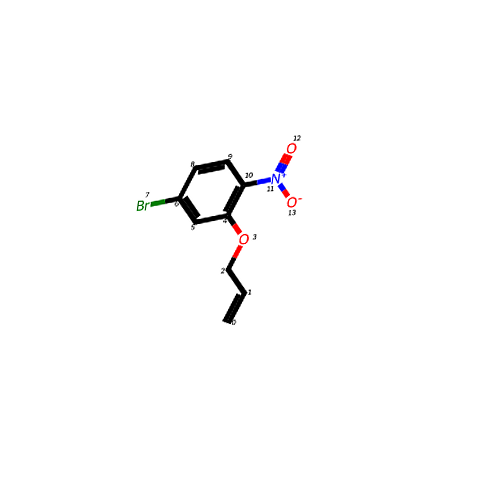 C=CCOc1cc(Br)ccc1[N+](=O)[O-]